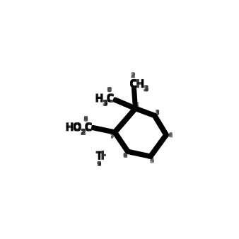 CC1(C)CCCCC1C(=O)O.[Tl]